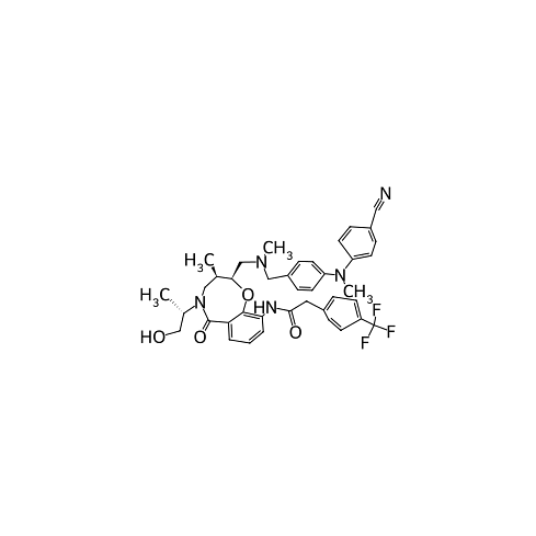 C[C@@H]1CN([C@@H](C)CO)C(=O)c2cccc(NC(=O)Cc3ccc(C(F)(F)F)cc3)c2O[C@@H]1CN(C)Cc1ccc(N(C)c2ccc(C#N)cc2)cc1